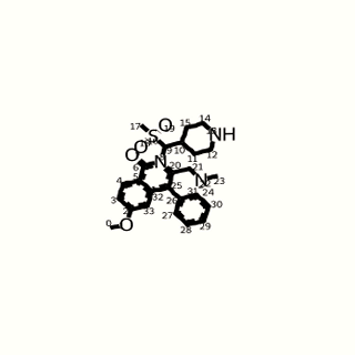 COc1ccc2c(=O)n(C(C3CCNCC3)S(C)(=O)=O)c(CN(C)C)c(-c3ccccc3)c2c1